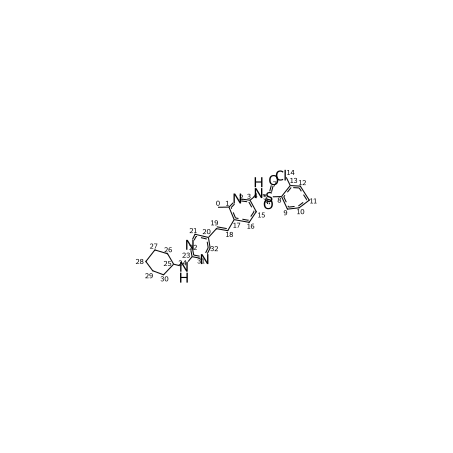 Cc1nc(NS(=O)(=O)c2ccccc2Cl)ccc1/C=C/c1cnc(NC2CCCCC2)nc1